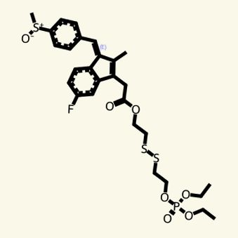 CCOP(=O)(OCC)OCCSSCCOC(=O)CC1=C(C)/C(=C/c2ccc([S+](C)[O-])cc2)c2ccc(F)cc21